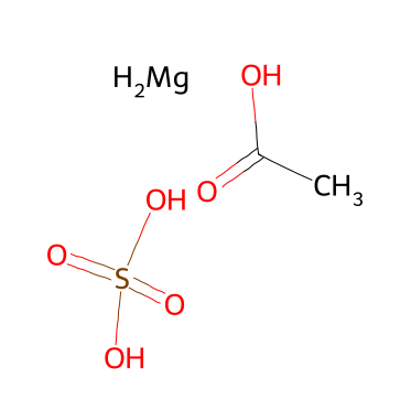 CC(=O)O.O=S(=O)(O)O.[MgH2]